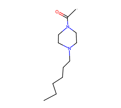 [CH2]C(=O)N1CCN(CCCCCC)CC1